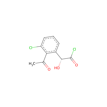 CC(=O)c1c(Cl)cccc1[C@@H](O)C(=O)Cl